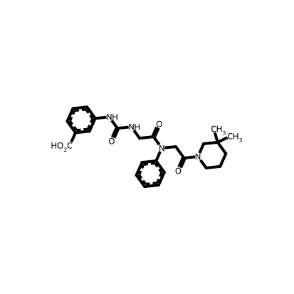 CC1(C)CCCN(C(=O)CN(C(=O)CNC(=O)Nc2cccc(C(=O)O)c2)c2ccccc2)C1